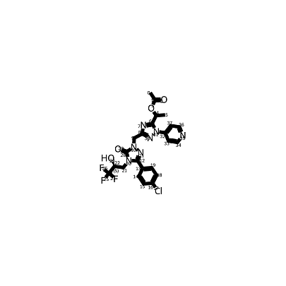 CC(=O)OC(C)c1nc(Cn2nc(-c3ccc(Cl)cc3)n(C[C@H](O)C(F)(F)F)c2=O)nn1-c1ccncc1